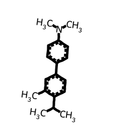 Cc1cc(-c2ccc(N(C)C)cc2)ccc1C(C)C